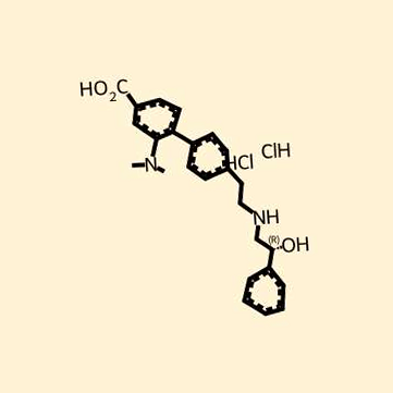 CN(C)c1cc(C(=O)O)ccc1-c1ccc(CCNC[C@H](O)c2ccccc2)cc1.Cl.Cl